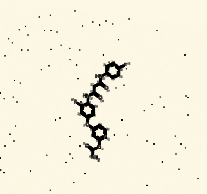 NC(=O)Oc1cc(Oc2ccc(NC(=O)CC(=O)Nc3ccc(F)cc3)c(F)c2)ccn1